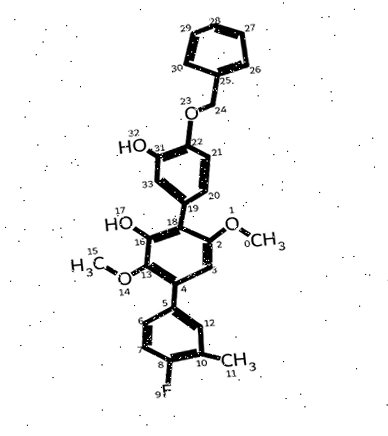 COc1cc(-c2ccc(F)c(C)c2)c(OC)c(O)c1-c1ccc(OCc2ccccc2)c(O)c1